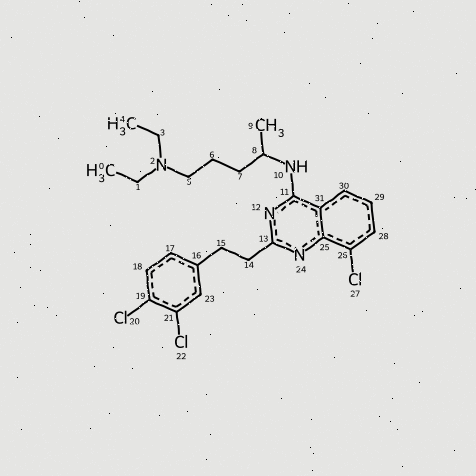 CCN(CC)CCCC(C)Nc1nc(CCc2ccc(Cl)c(Cl)c2)nc2c(Cl)cccc12